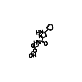 O=C(CNC(=O)c1cc(-c2ccccc2)[nH]n1)OCO